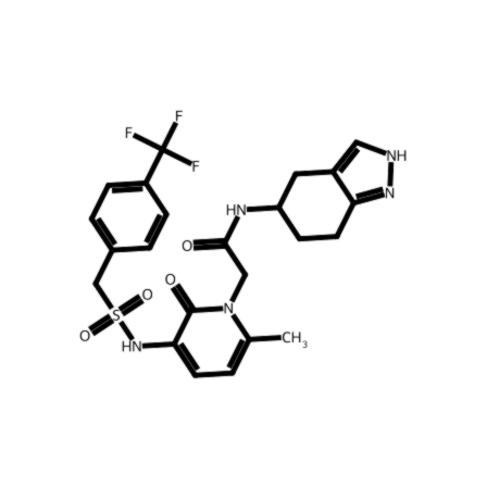 Cc1ccc(NS(=O)(=O)Cc2ccc(C(F)(F)F)cc2)c(=O)n1CC(=O)NC1CCc2n[nH]cc2C1